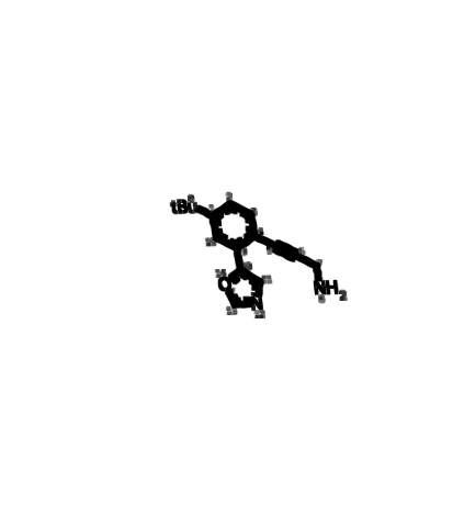 CC(C)(C)c1ccc(C#CCN)c(-c2cnco2)c1